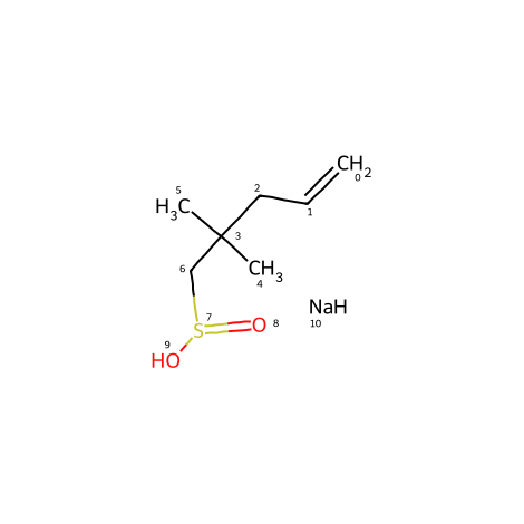 C=CCC(C)(C)CS(=O)O.[NaH]